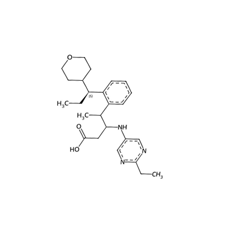 CCc1ncc(NC(CC(=O)O)C(C)c2ccccc2[C@@H](CC)C2CCOCC2)cn1